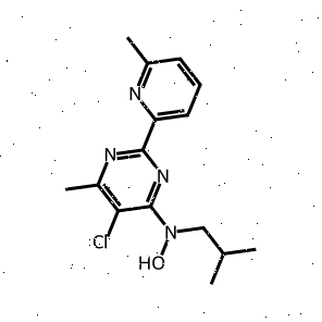 Cc1cccc(-c2nc(C)c(Cl)c(N(O)CC(C)C)n2)n1